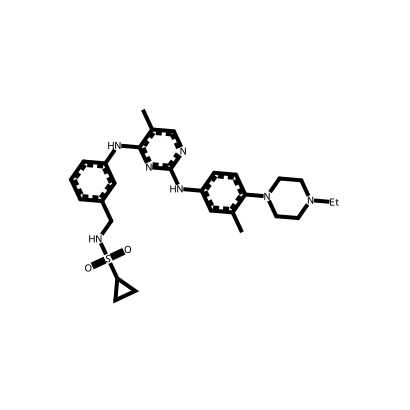 CCN1CCN(c2ccc(Nc3ncc(C)c(Nc4cccc(CNS(=O)(=O)C5CC5)c4)n3)cc2C)CC1